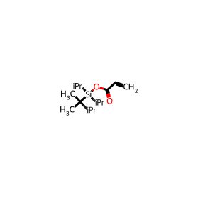 C=CC(=O)O[Si](C(C)C)(C(C)C)C(C)(C)C(C)C